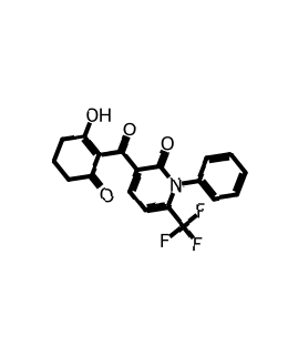 O=C1CCCC(O)=C1C(=O)c1ccc(C(F)(F)F)n(-c2ccccc2)c1=O